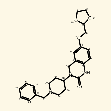 O=C1Nc2ccc(OCC3OCCO3)cc2CN1C1CCN(Cc2ccccc2)CC1